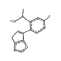 CC(N)c1cc(F)ccc1C1=CCc2ccsc21